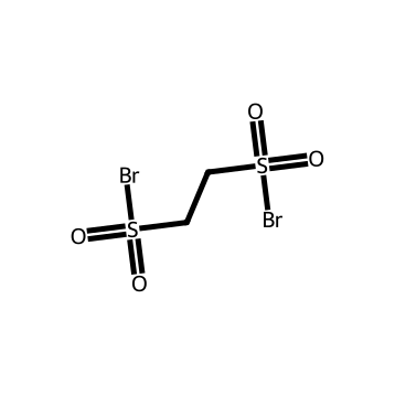 O=S(=O)(Br)CCS(=O)(=O)Br